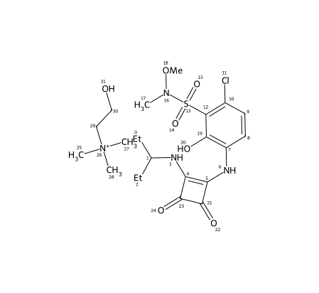 CCC(CC)Nc1c(Nc2ccc(Cl)c(S(=O)(=O)N(C)OC)c2O)c(=O)c1=O.C[N+](C)(C)CCO